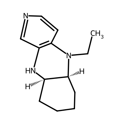 CCN1c2ccncc2N[C@@H]2CCCC[C@@H]21